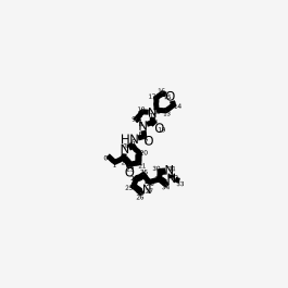 CCc1nc(NC(=O)N2CCN(C3CCOCC3)C2=O)ccc1Oc1ccnc(-c2cnn(C)c2)c1